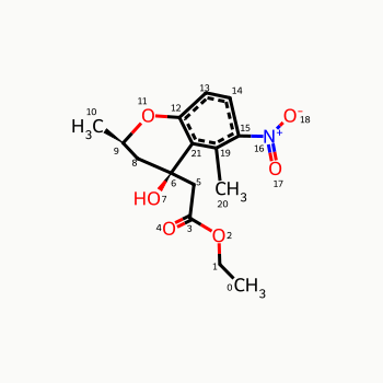 CCOC(=O)C[C@]1(O)C[C@@H](C)Oc2ccc([N+](=O)[O-])c(C)c21